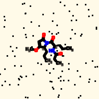 CCC[C@H](NC(=O)CC)C(=O)N1C(=O)C=C(OC)[C@@H]1CCC